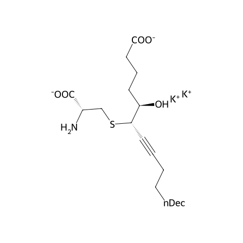 CCCCCCCCCCCCC#C[C@H](SC[C@H](N)C(=O)[O-])[C@H](O)CCCC(=O)[O-].[K+].[K+]